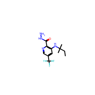 CCC(C)(C)Nc1cc(C(F)(F)F)cnc1C(=O)NN